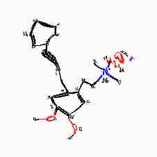 COc1cc(C#Cc2ccccc2)c(CC[N+](C)(C)C)cc1OC.O.[I-]